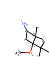 CC(C)(C)C1(O[SiH3])CC(N)C1(C)C